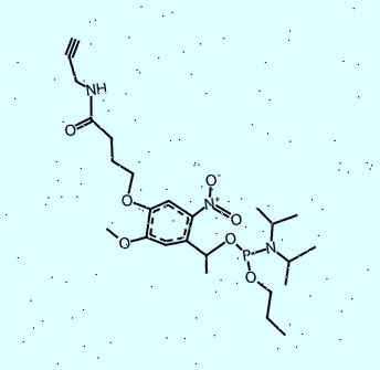 C#CCNC(=O)CCCOc1cc([N+](=O)[O-])c(C(C)OP(OCCC)N(C(C)C)C(C)C)cc1OC